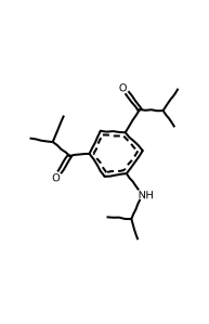 CC(C)Nc1cc(C(=O)C(C)C)cc(C(=O)C(C)C)c1